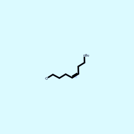 CCCCCC/C=C\CCC[O]